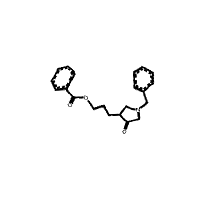 O=C(OCCCC1CN(Cc2ccccc2)CC1=O)c1ccccc1